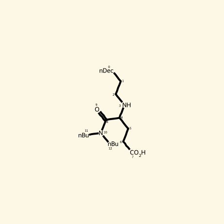 CCCCCCCCCCCCNC(CCC(=O)O)C(=O)N(CCCC)CCCC